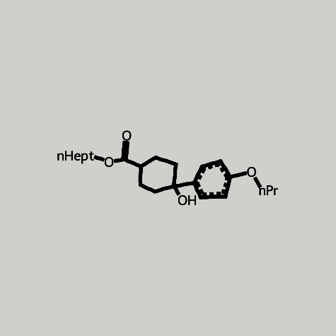 CCCCCCCOC(=O)C1CCC(O)(c2ccc(OCCC)cc2)CC1